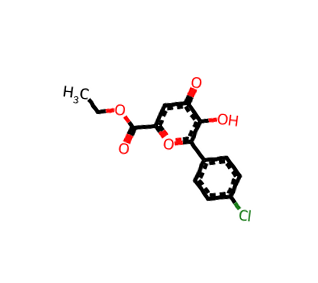 CCOC(=O)c1cc(=O)c(O)c(-c2ccc(Cl)cc2)o1